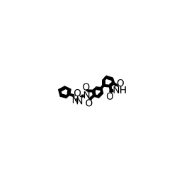 O=C1NC(=O)c2c1cccc2-c1ccc2c(c1)C(=O)N(c1nnc(-c3ccccc3)o1)C2=O